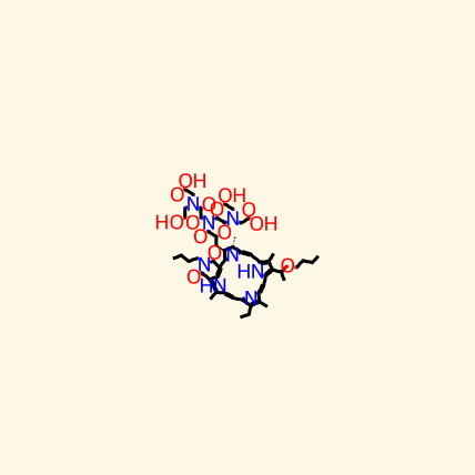 CCCCOC(C)c1c(C)c2cc3nc(c4c5[nH]c(cc6nc(cc1[nH]2)C(C)=C6CC)c(C)c5C(=O)N(CCCC)C4=O)[C@@H](CCC(=O)N(CC(=O)N(CC(=O)O)CC(=O)O)CC(=O)N(CC(=O)O)CC(=O)O)[C@@H]3C